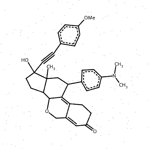 COc1ccc(C#CC2(O)CCC3C4OCC5=CC(=O)CCC5=C4C(c4ccc(N(C)C)cc4)CC32C)cc1